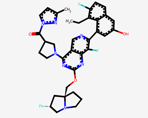 CCc1c(F)ccc2cc(O)cc(-c3ncc4c(N5CCC(C(=O)n6ccc(C)n6)C5)nc(OC[C@@]56CCCN5C[C@H](F)C6)nc4c3F)c12